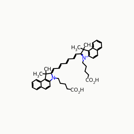 CC1(C)C(/C=C/C=C/C=C/C=C2\N(CCCCC(=O)O)c3ccc4ccccc4c3C2(C)C)=[N+](CCCCC(=O)O)c2ccc3ccccc3c21